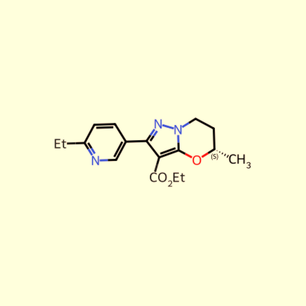 CCOC(=O)c1c(-c2ccc(CC)nc2)nn2c1O[C@@H](C)CC2